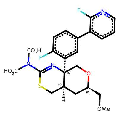 COC[C@H]1C[C@H]2CSC(N(C(=O)O)C(=O)O)=N[C@@]2(c2cc(-c3cccnc3F)ccc2F)CO1